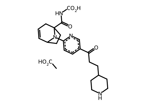 CC(=O)O.O=C(O)NC(=O)C12CC=CC(CC1)N2c1ccc(C(=O)CCC2CCNCC2)cn1